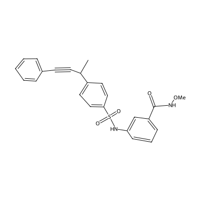 CONC(=O)c1cccc(NS(=O)(=O)c2ccc(C(C)C#Cc3ccccc3)cc2)c1